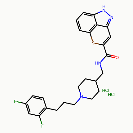 Cl.Cl.O=C(NCC1CCN(CCCc2ccc(F)cc2F)CC1)C1=Cc2n[nH]c3cccc(c23)S1